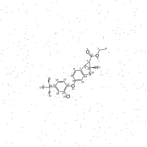 CCOC(=O)C1C2c3ccc(Oc4ccc(C(F)(F)F)cc4Cl)cc3S[C@@H]12